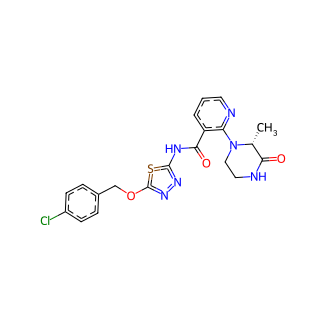 C[C@@H]1C(=O)NCCN1c1ncccc1C(=O)Nc1nnc(OCc2ccc(Cl)cc2)s1